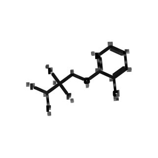 FC(F)C(F)(F)COc1ncccc1Cl